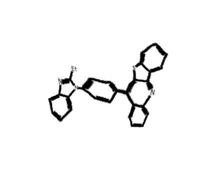 CCc1nc2ccccc2n1-c1ccc(-c2c3ccccc3nc3c2sc2ccccc23)cc1